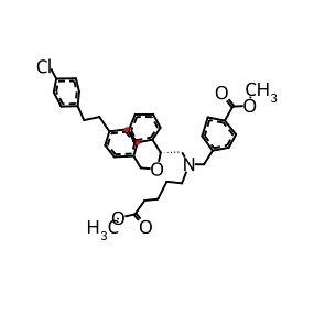 COC(=O)CCCCN(Cc1ccc(C(=O)OC)cc1)C[C@H](OCc1ccc(CCc2ccc(Cl)cc2)cc1)c1ccccc1